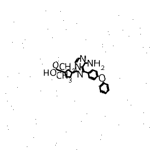 CC(C)(C(=O)O)C1CCC(c2nc(-c3ccc(Oc4ccccc4)cc3)c3c(N)nccn23)C1